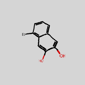 CCc1cccc2cc(O)c(O)cc12